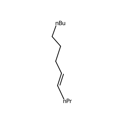 [CH2]CCC=CCCCCC[CH]C